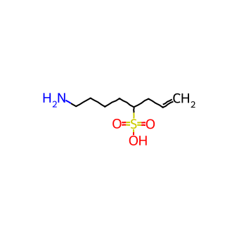 C=CCC(CCCCN)S(=O)(=O)O